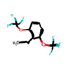 CCc1c(OC(F)(F)F)cccc1OC(F)(F)F